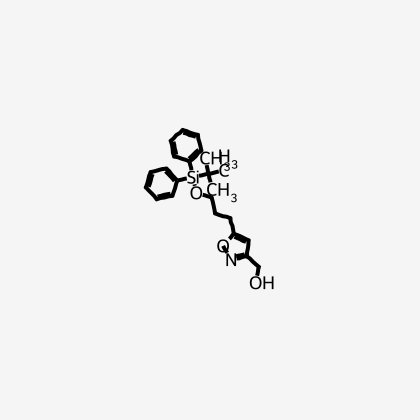 CC(C)(C)[Si](OCCCc1cc(CO)no1)(c1ccccc1)c1ccccc1